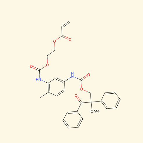 C=CC(=O)OCCOC(=O)Nc1cc(NC(=O)OCC(OC)(C(=O)c2ccccc2)c2ccccc2)ccc1C